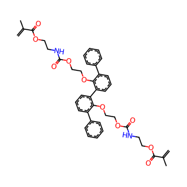 C=C(C)C(=O)OCCNC(=O)OCCOc1c(-c2ccccc2)cccc1-c1cccc(-c2ccccc2)c1OCCOC(=O)NCCOC(=O)C(=C)C